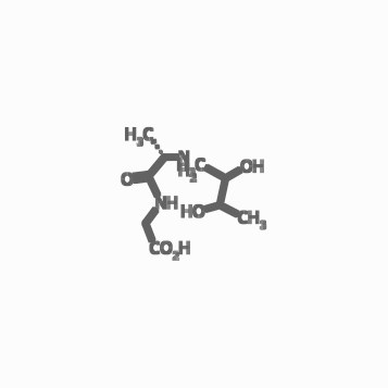 CC(O)C(C)O.C[C@H](N)C(=O)NCC(=O)O